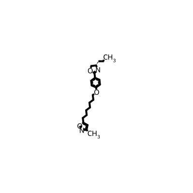 CCC[C@H]1COC(c2ccc(OCCCCCCCc3cc(C)no3)cc2)=N1